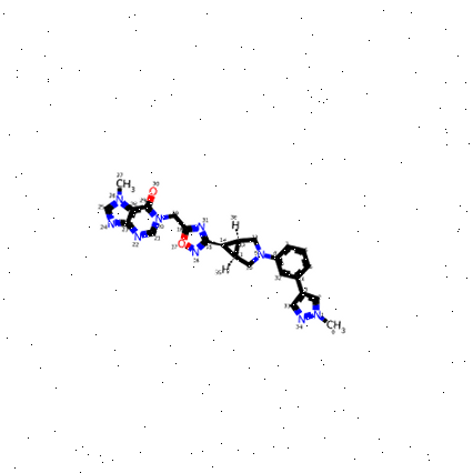 Cn1cc(-c2cccc(N3C[C@@H]4[C@H](C3)[C@@H]4c3noc(Cn4cnc5ncn(C)c5c4=O)n3)c2)cn1